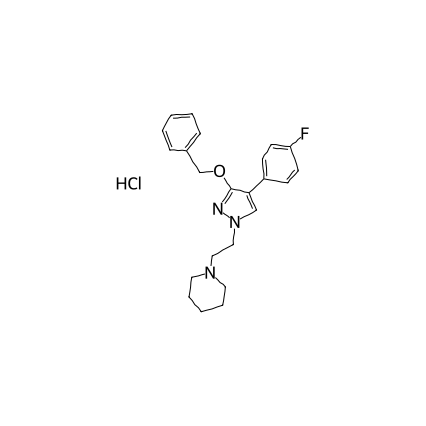 Cl.Fc1ccc(-c2cn(CCN3CCCCC3)nc2OCc2ccccc2)cc1